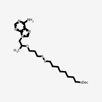 CCCCCCCCCCCCCCCCCCSSCCCOC(C)Cn1cnc2c(N)ncnc21